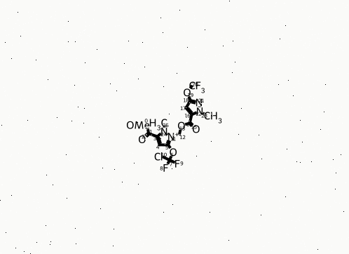 COC(=O)c1cc(OC(F)(F)Cl)[n+](COC(=O)c2cc(OC(F)(F)F)nn2C)n1C